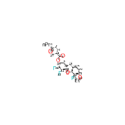 CCCC1CCC(C(=O)Oc2cc3c(c(F)c2F)Oc2c(ccc(OCC)c2F)C3)CO1